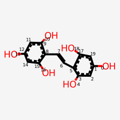 Oc1cc(O)c(C=Cc2c(O)cc(O)cc2O)c(O)c1